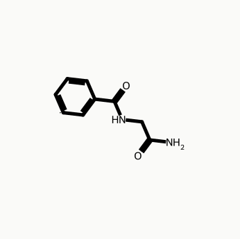 NC(=O)CNC(=O)c1c[c]ccc1